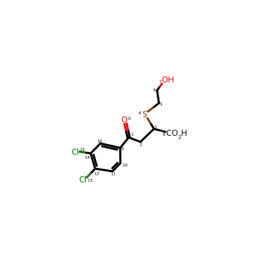 O=C(CC(SCCO)C(=O)O)c1ccc(Cl)c(Cl)c1